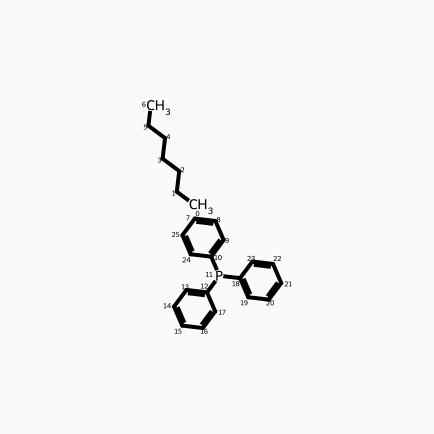 CCCCCCC.c1ccc(P(c2ccccc2)c2ccccc2)cc1